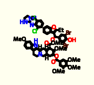 CCc1oc2ccccc2c1C(=O)c1cc(Br)c(O)c(Br)c1.COC(=O)[C@H]1[C@H]2C[C@@H]3c4[nH]c5cc(OC)ccc5c4CCN3C[C@H]2C[C@@H](OC(=O)c2cc(OC)c(OC)c(OC)c2)[C@@H]1OC.Clc1cccc(Cl)c1N=C1NCCN1